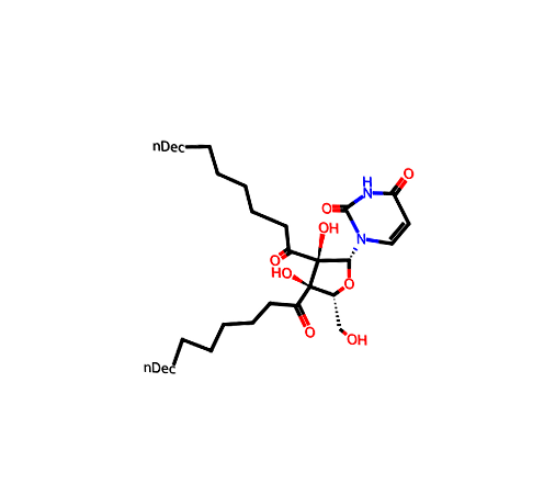 CCCCCCCCCCCCCCCC(=O)[C@@]1(O)[C@@H](CO)O[C@@H](n2ccc(=O)[nH]c2=O)[C@@]1(O)C(=O)CCCCCCCCCCCCCCC